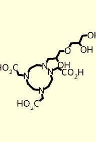 O=C(O)CN1CCN(CC(=O)O)CCN(CC(O)COCC(O)CO)N(CC(=O)O)CC1